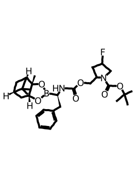 CC(C)(C)OC(=O)N1CC(F)CC1COC(=O)N[C@@H](Cc1ccccc1)B1O[C@@H]2C[C@@H]3C[C@@H](C3(C)C)[C@]2(C)O1